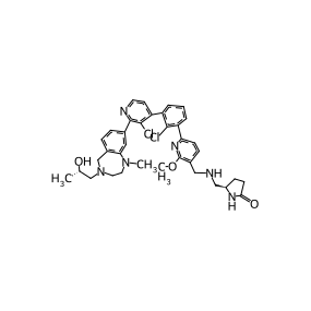 COc1nc(-c2cccc(-c3ccnc(-c4ccc5c(c4)N(C)CCN(C[C@H](C)O)C5)c3Cl)c2Cl)ccc1CNC[C@H]1CCC(=O)N1